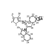 CC1=CC[C]([Ti+2][CH]2C(n3c(C)cc4ccccc43)=Cc3ccccc32)=C1C.[Cl-].[Cl-]